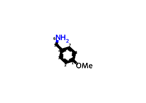 COc1ccc([CH]N)cc1